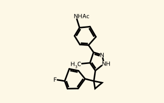 CC(=O)Nc1ccc(-c2n[nH]c(C3(c4ccc(F)cc4)CC3)c2C)cc1